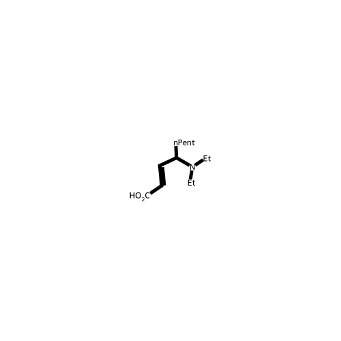 CCCCCC(C=CC(=O)O)N(CC)CC